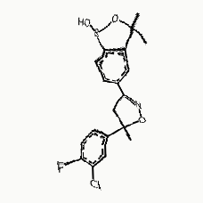 CC1(C)OB(O)c2ccc(C3=NOC(C)(c4ccc(F)c(Cl)c4)C3)cc21